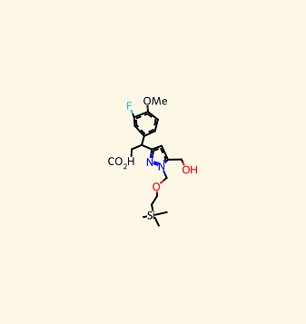 COc1ccc(C(CC(=O)O)c2cc(CO)n(COCC[Si](C)(C)C)n2)cc1F